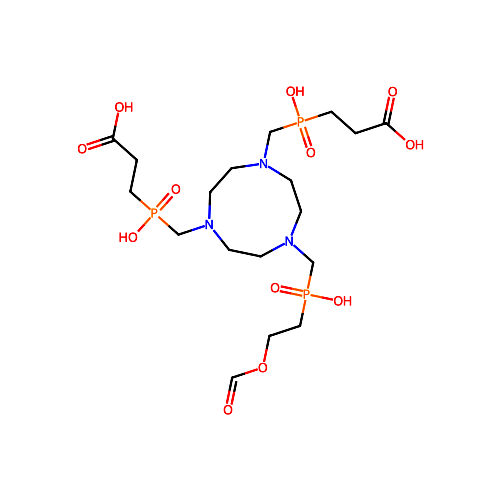 O=COCCP(=O)(O)CN1CCN(CP(=O)(O)CCC(=O)O)CCN(CP(=O)(O)CCC(=O)O)CC1